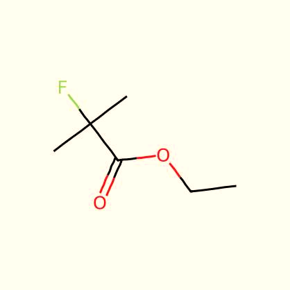 CCOC(=O)C(C)(C)F